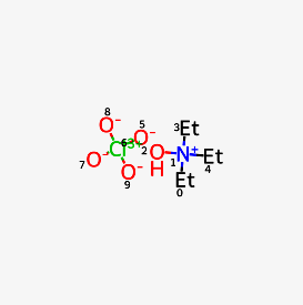 CC[N+](O)(CC)CC.[O-][Cl+3]([O-])([O-])[O-]